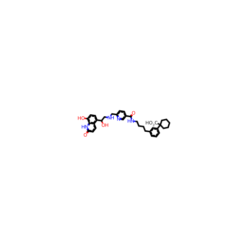 O=C(NCCCCc1cccc(C2(C(=O)O)CCCCC2)c1)c1ccc(CNCC(O)c2ccc(O)c3[nH]c(=O)ccc23)nc1